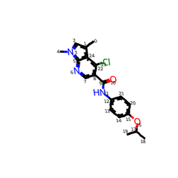 Cc1cn(C)c2ncc(C(=O)Nc3ccc(OC(C)C)cc3)c(Cl)c12